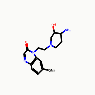 COc1ccc2ncc(=O)n(CCN3CCC(N)C(O)C3)c2c1